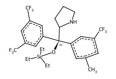 CC[Si](CC)(CC)O[C@@](c1cc(C)cc(C(F)(F)F)c1)(c1cc(C(F)(F)F)cc(C(F)(F)F)c1)C1CCCN1